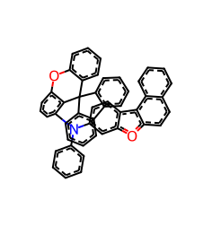 c1ccc(N(c2ccc3c(c2)oc2ccc4ccccc4c23)c2cccc3c2C2(c4ccccc4O3)c3ccccc3-c3ccccc32)cc1